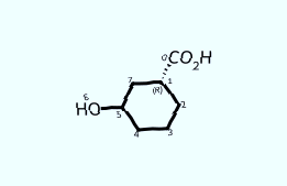 O=C(O)[C@@H]1CCCC(O)C1